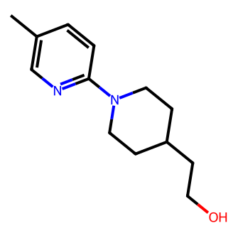 Cc1ccc(N2CCC(CCO)CC2)nc1